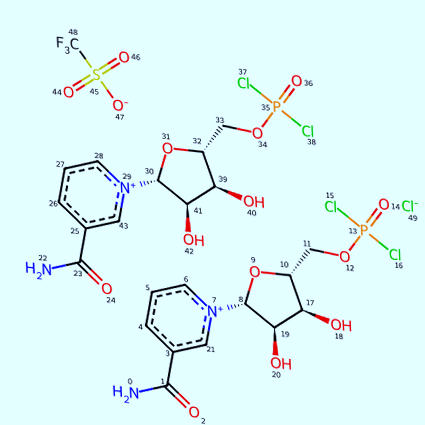 NC(=O)c1ccc[n+]([C@@H]2O[C@H](COP(=O)(Cl)Cl)[C@@H](O)[C@H]2O)c1.NC(=O)c1ccc[n+]([C@@H]2O[C@H](COP(=O)(Cl)Cl)[C@@H](O)[C@H]2O)c1.O=S(=O)([O-])C(F)(F)F.[Cl-]